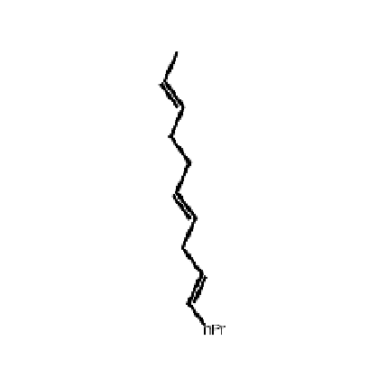 [CH2]CCC=CCC=CCCC=CC